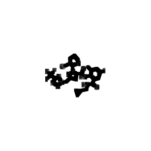 Cc1cc(I)cc(C(=O)NCC2CC2)c1NC(=O)c1cc(Cn2nnc(C(F)(F)F)n2)nn1-c1ncccc1Cl